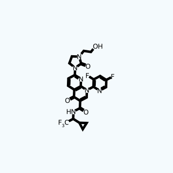 O=C(NC(C1CC1)C(F)(F)F)c1cn(-c2ncc(F)cc2F)c2nc(N3CCN(CCO)C3=O)ccc2c1=O